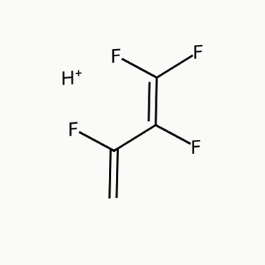 C=C(F)C(F)=C(F)F.[H+]